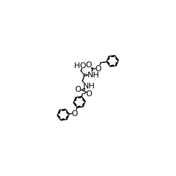 O=C(N[C@H](CO)CNS(=O)(=O)c1ccc(Oc2ccccc2)cc1)OCc1ccccc1